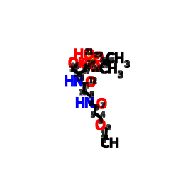 C#CCOCCC(=O)NCCC(=O)NC(CO)COP(=O)(O)OC(C)C